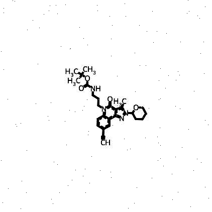 C#Cc1ccc2c(c1)c1nn(C3CCCCO3)c(C)c1c(=O)n2CCCNC(=O)OC(C)(C)C